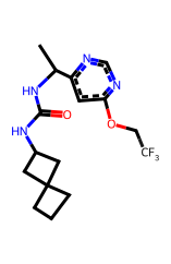 CC(NC(=O)NC1CC2(CCC2)C1)c1cc(OCC(F)(F)F)ncn1